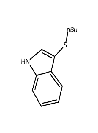 CCCCSc1c[nH]c2ccccc12